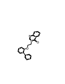 O=c1c2ccccc2ncn1CCOc1ccccc1-c1ccccc1